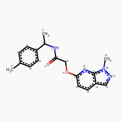 Cc1ccc(C(C)NC(=O)COc2ccc3cnn(C)c3n2)cc1